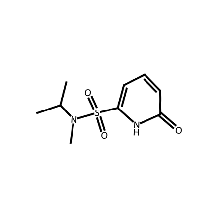 CC(C)N(C)S(=O)(=O)c1cccc(=O)[nH]1